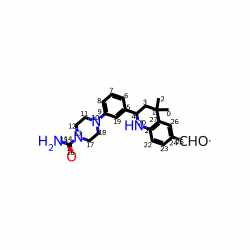 CC1(C)CC(c2cccc(N3CCN(C(N)=O)CC3)c2)Nc2ccc([C]=O)cc21